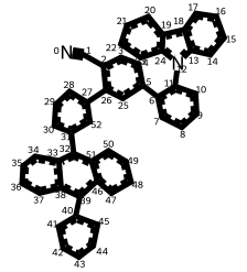 N#Cc1ccc(-c2ccccc2-n2c3ccccc3c3ccccc32)cc1-c1cccc(-c2c3ccccc3c(-c3ccccc3)c3ccccc23)c1